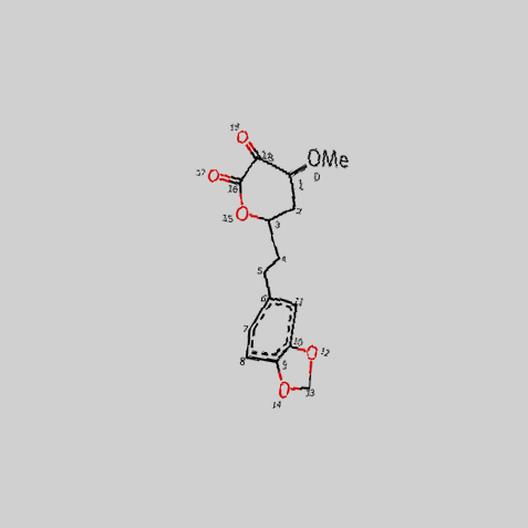 COC1CC(CCc2ccc3c(c2)OCO3)OC(=O)C1=O